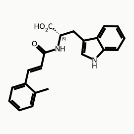 Cc1ccccc1C=CC(=O)N[C@@H](Cc1c[nH]c2ccccc12)C(=O)O